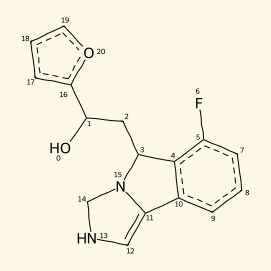 OC(CC1c2c(F)cccc2C2=CNCN21)c1ccco1